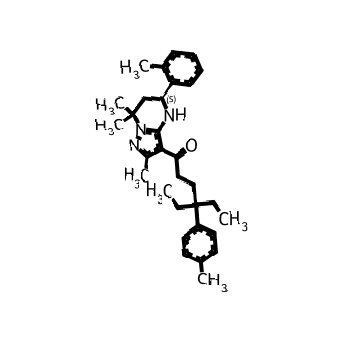 CCC(CC)(CCC(=O)c1c(C)nn2c1N[C@H](c1ccccc1C)CC2(C)C)c1ccc(C)cc1